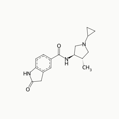 C[C@H]1CN(C2CC2)C[C@@H]1NC(=O)c1ccc2c(c1)CC(=O)N2